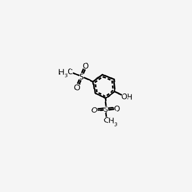 CS(=O)(=O)c1ccc(O)c(S(C)(=O)=O)c1